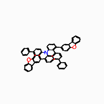 c1ccc(-c2ccc(-c3c(-c4ccc5oc6ccccc6c5c4)cccc3N(c3ccc(-c4ccccc4)cc3)c3ccccc3-c3ccc4oc5ccccc5c4c3)cc2)cc1